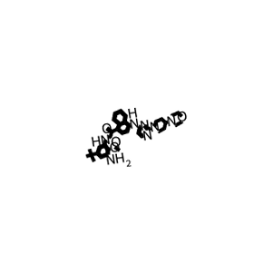 COc1c(N)cc(C(C)(C)C)cc1NC(=O)C(=O)c1ccc(Nc2ccnc(N3CCC(N4CCOCC4)CC3)n2)c2ccccc12